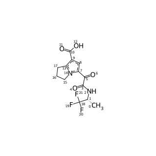 C[C@@H](NC(=O)C(=O)c1cc(C(=O)O)c2n1CCC2)C(F)(F)F